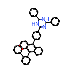 c1ccc(-c2ccccc2-c2c3ccccc3c(-c3ccc(C4=NC(c5ccccc5)NC(c5ccccc5)N4)cc3)c3ccccc23)cc1